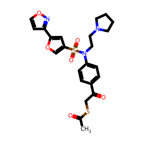 CC(=O)SCC(=O)c1ccc(N(CCN2CCCC2)S(=O)(=O)c2coc(-c3ccon3)c2)cc1